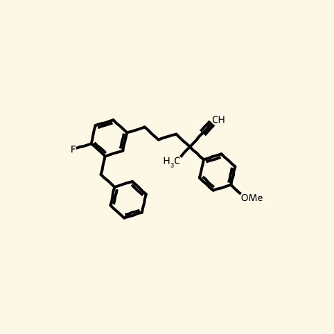 C#CC(C)(CCCc1ccc(F)c(Cc2ccccc2)c1)c1ccc(OC)cc1